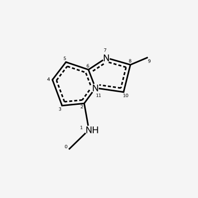 CNc1cccc2nc(C)cn12